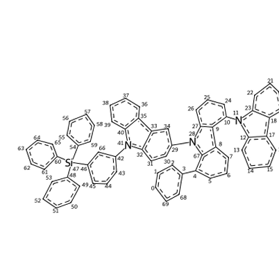 c1ccc(-c2cccc3c4c(-n5c6ccccc6c6ccccc65)cccc4n(-c4ccc5c(c4)c4ccccc4n5-c4cccc([Si](c5ccccc5)(c5ccccc5)c5ccccc5)c4)c23)cc1